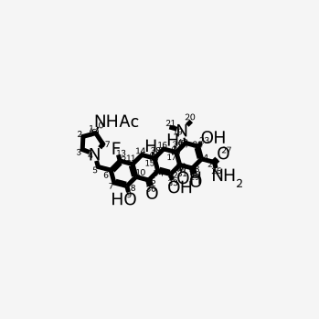 CC(=O)N[C@H]1CCN(Cc2cc(O)c3c(c2F)C[C@H]2C[C@H]4[C@H](N(C)C)C(O)=C(C(N)=O)C(=O)[C@@]4(O)C(O)=C2C3=O)C1